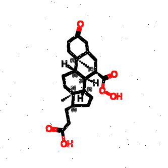 C[C@]12CC[C@H]3[C@@H]([C@H](C(=O)OO)CC4CC(=O)CC[C@@]43C)[C@@H]1CC[C@H]2CCC(=O)O